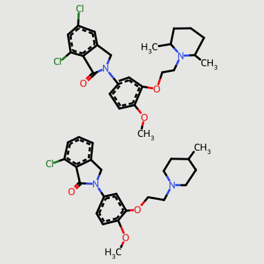 COc1ccc(N2Cc3cc(Cl)cc(Cl)c3C2=O)cc1OCCN1C(C)CCCC1C.COc1ccc(N2Cc3cccc(Cl)c3C2=O)cc1OCCN1CCC(C)CC1